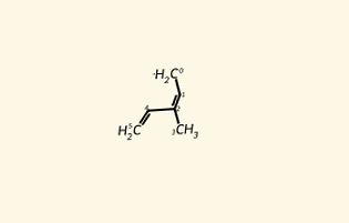 [CH2]C=C(C)C=C